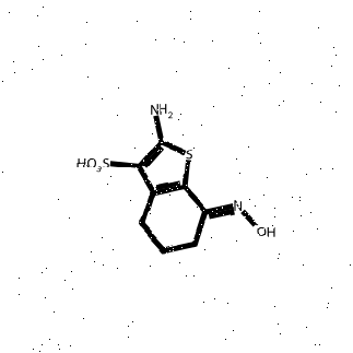 Nc1sc2c(c1S(=O)(=O)O)CCCC2=NO